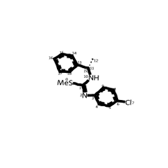 CSC(=Nc1ccc(Cl)cc1)N[C@@H](C)c1ccccc1